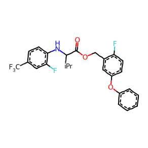 CC(C)C(Nc1ccc(C(F)(F)F)cc1F)C(=O)OCc1cc(Oc2ccccc2)ccc1F